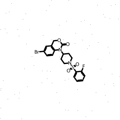 O=C1OCc2cc(Br)ccc2N1C1CCN(S(=O)(=O)c2ccccc2F)CC1